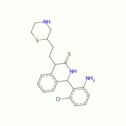 Nc1cccc(Cl)c1C1NC(=S)C(CCC2CNCCS2)c2ccccc21